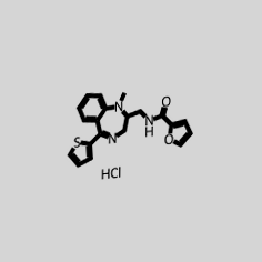 CN1c2ccccc2C(c2cccs2)=NCC1CNC(=O)c1ccco1.Cl